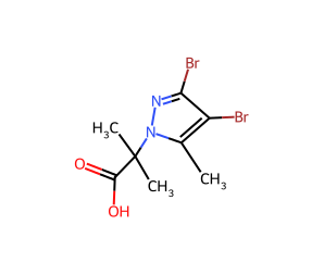 Cc1c(Br)c(Br)nn1C(C)(C)C(=O)O